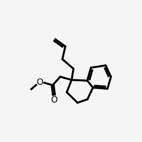 C=CCCC1(CC(=O)OC)CCCc2ccccc21